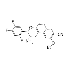 CCOc1cc2c3c(ccc2cc1C#N)O[C@H](c1cc(F)c(F)cc1F)[C@@H](N)C3